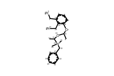 CC(C)Cc1cccc(OC(C)OC(C)[N+](C)(C)Cc2ccccc2)c1CC(C)C